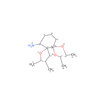 CCCC1(OCC)C(N)CCC[Si]1(OCC)OCC